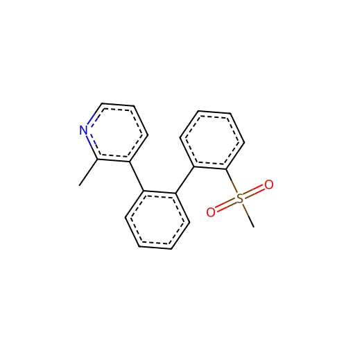 Cc1ncccc1-c1ccccc1-c1ccccc1S(C)(=O)=O